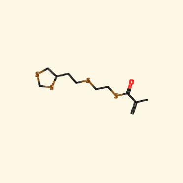 C=C(C)C(=O)SCCSCCC1CSCS1